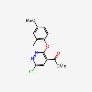 COC(=O)c1cc(Cl)nnc1Oc1ccc(OC)cc1C